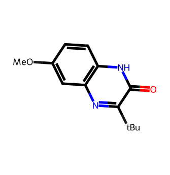 COc1ccc2[nH]c(=O)c(C(C)(C)C)nc2c1